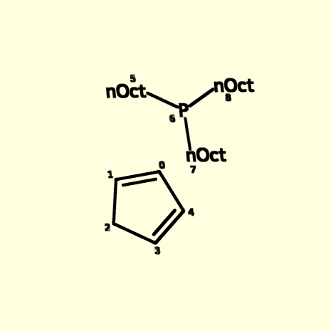 C1=CCC=C1.CCCCCCCCP(CCCCCCCC)CCCCCCCC